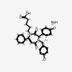 C[C@H](c1ccc(Cl)cc1)N1C(=O)C=C(c2ccccc2)N(CCCCC(=O)O)C(=O)C1c1ccc(Cl)cc1.[NaH]